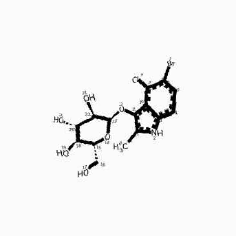 Cc1[nH]c2ccc(Br)c(Cl)c2c1O[C@H]1O[C@H](CO)[C@@H](O)[C@H](O)[C@H]1O